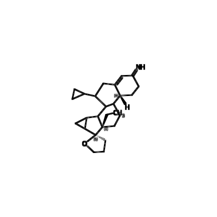 CC[C@]12CCC3C(C(C4CC4)CC4=CC(=N)CC[C@@H]43)C1C1CC1[C@@]21CCCO1